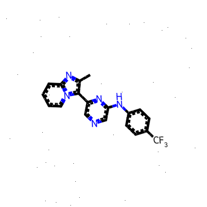 Cc1nc2ccccn2c1-c1cncc(Nc2ccc(C(F)(F)F)cc2)n1